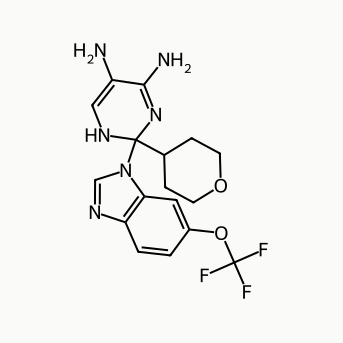 NC1=CNC(C2CCOCC2)(n2cnc3ccc(OC(F)(F)F)cc32)N=C1N